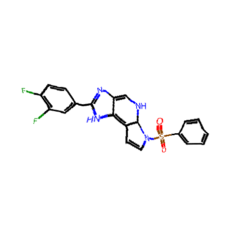 O=S(=O)(c1ccccc1)N1C=CC2=c3[nH]c(-c4ccc(F)c(F)c4)nc3=CNC21